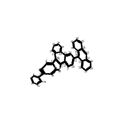 c1ccc(-c2ccc3c(c2)sc2c4ccc(-c5c6ccccc6cc6ccccc56)cc4c4ccccc4c32)cc1